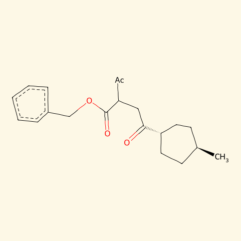 CC(=O)C(CC(=O)[C@H]1CC[C@H](C)CC1)C(=O)OCc1ccccc1